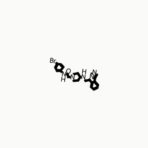 O=C(CN1CCC(NCC2c3ccccc3-c3cncn32)CC1)Nc1ccc(Br)cc1